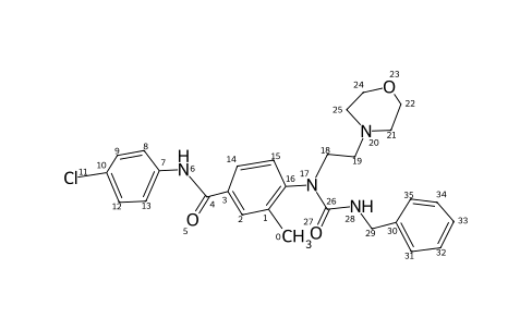 Cc1cc(C(=O)Nc2ccc(Cl)cc2)ccc1N(CCN1CCOCC1)C(=O)NCc1ccccc1